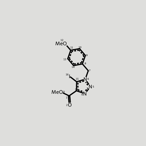 COC(=O)c1nnn(Cc2ccc(OC)cc2)c1I